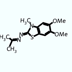 COc1cc2s/c(=N\N=C(C)C)n(C)c2cc1OC